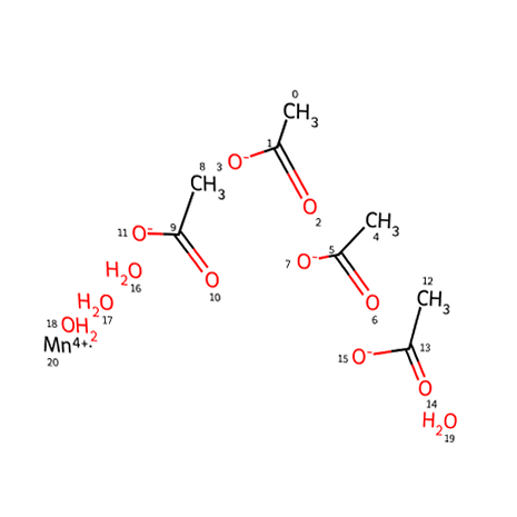 CC(=O)[O-].CC(=O)[O-].CC(=O)[O-].CC(=O)[O-].O.O.O.O.[Mn+4]